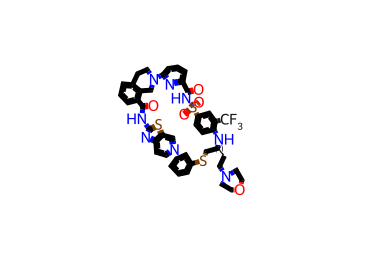 O=C(NS(=O)(=O)c1ccc(N[C@H](CCN2CCOCC2)CSc2ccccc2)c(C(F)(F)F)c1)c1cccc(N2CCc3cccc(C(=O)Nc4nc5ccncc5s4)c3C2)n1